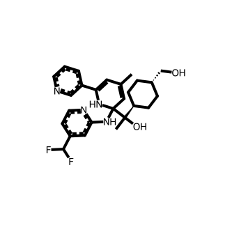 CC1=CC(Nc2cc(C(F)F)ccn2)(C(C)(O)[C@H]2CC[C@H](CO)CC2)NC(c2cccnc2)=C1